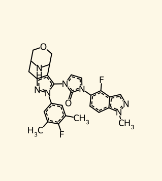 Cc1cc(-n2nc3c(c2-n2ccn(-c4ccc5c(cnn5C)c4F)c2=O)C2COCC(C3)N2)cc(C)c1F